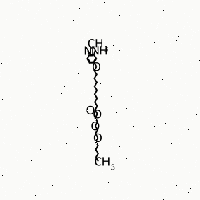 CCCCCCOCCOCCOC(=O)CCCCCCCCCCOc1ccc2nc(C)[nH]c2c1